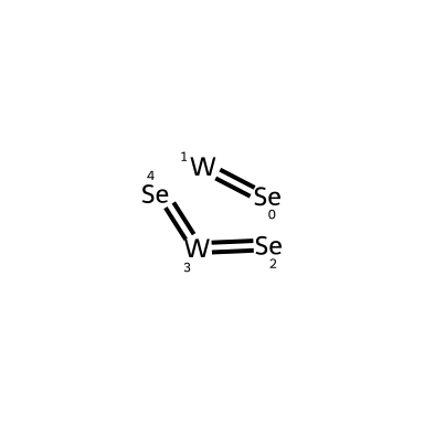 [Se]=[W].[Se]=[W]=[Se]